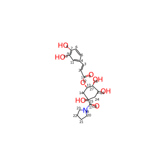 O=C(/C=C/c1ccc(O)c(O)c1)O[C@@H]1C[C@@](O)(C(=O)N2CCCC2)C[C@@H](O)[C@@H]1O